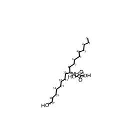 CCCCCCCCCCCCCCCCCCO.N.O=S(=O)(O)O